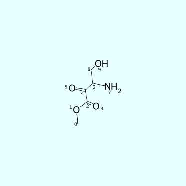 COC(=O)C(=O)C(N)CO